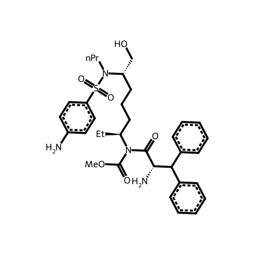 CCCN([C@H](CO)CCC[C@H](CC)N(C(=O)OC)C(=O)[C@@H](N)C(c1ccccc1)c1ccccc1)S(=O)(=O)c1ccc(N)cc1